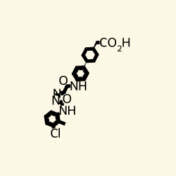 Cc1c(Cl)cccc1Nc1nnc(C(=O)Nc2ccc([C@H]3CC[C@H](CC(=O)O)CC3)cc2)o1